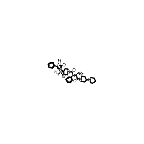 NC1(n2cc(-c3ccccc3)[nH]c2=O)CCN(C(=O)N(c2ccccc2)[C@@H](CBr)C(=O)N2CCC(N3CCCCC3)CC2)CC1Br